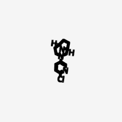 Clc1ccc(N2CC[C@H]3CC[C@@H](C2)N3)cn1